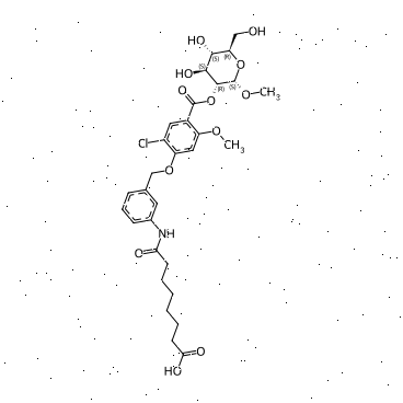 COc1cc(OCc2cccc(NC(=O)CCCCCCC(=O)O)c2)c(Cl)cc1C(=O)O[C@H]1[C@@H](OC)O[C@H](CO)[C@@H](O)[C@@H]1O